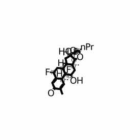 CCC[C@H]1O[C@@H]2C[C@H]3[C@@H]4C[C@H](F)C5=CC(=O)C(C)=C[C@]5(C)[C@@]4(F)[C@@H](O)C[C@]3(C)[C@]2(C(O)=S)O1